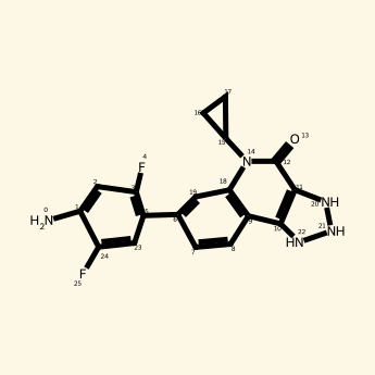 Nc1cc(F)c(-c2ccc3c4c(c(=O)n(C5CC5)c3c2)NNN4)cc1F